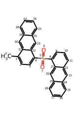 Cc1ccc(S(=O)(=O)c2cccc3cc4ccccc4cc23)c2cc3ccccc3cc12